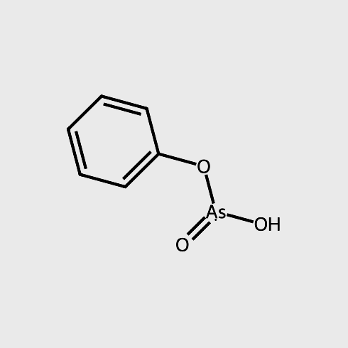 O=[As](O)Oc1ccccc1